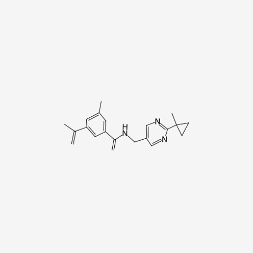 C=C(C)c1cc(C)cc(C(=C)NCc2cnc(C3(C)CC3)nc2)c1